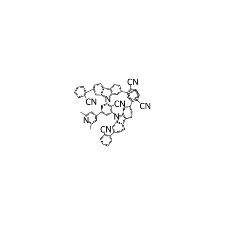 Cc1cc(-c2cc(-n3c4cc(-c5ccccc5C#N)ccc4c4ccc(-c5ccccc5C#N)cc43)c(C#N)c(-n3c4cc(-c5ccccc5C#N)ccc4c4ccc(-c5ccccc5C#N)cc43)c2)cc(C)n1